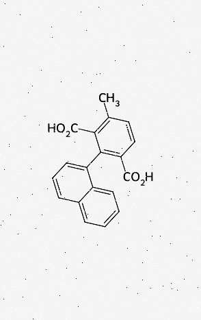 Cc1ccc(C(=O)O)c(-c2cccc3ccccc23)c1C(=O)O